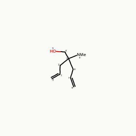 C=CCC(CO)(CC=C)NC